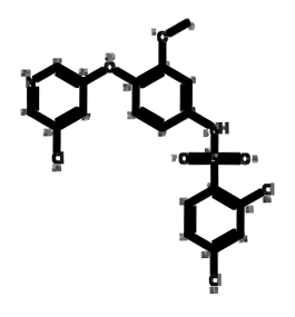 COc1cc(NS(=O)(=O)c2ccc(Cl)cc2Cl)ccc1Oc1cncc(Cl)c1